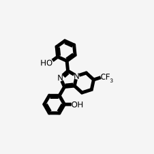 Oc1ccccc1-c1nc(-c2ccccc2O)n2c1CCC(C(F)(F)F)C2